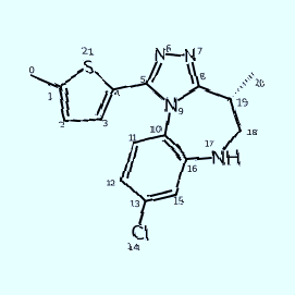 Cc1ccc(-c2nnc3n2-c2ccc(Cl)cc2NC[C@H]3C)s1